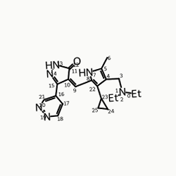 CCN(CC)Cc1c(C)[nH]c(C=C2C(=O)NN=C2c2ccnnc2)c1C1CC1